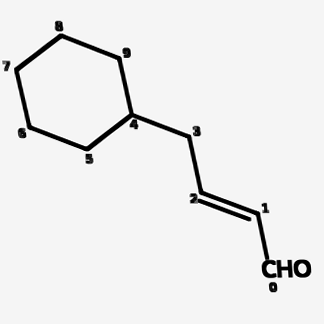 O=CC=CCC1CCCCC1